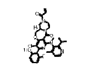 C=CC(=O)N1CCN2C(=O)c3c(N(C)c4c(C)ccnc4C(C)C)nc(-c4c(O)cccc4F)c(Cl)c3OC[C@H]2C1